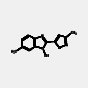 Cc1ccc2nc(-c3cc(C)no3)n(O)c2c1